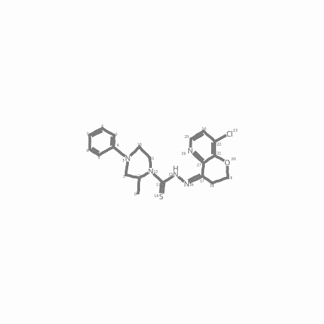 CC1CN(c2ccccc2)CCN1C(=S)N/N=C1/CCOc2c(Cl)ccnc21